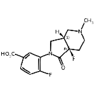 CN1CC[C@]2(F)C(=O)N(c3cc(C(=O)O)ccc3F)C[C@@H]2C1